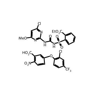 CCOC(=O)c1ccccc1S(=O)(=O)NC(=O)Nc1nc(Cl)cc(OC)n1.O=C(O)c1cc(Oc2ccc(C(F)(F)F)cc2Cl)ccc1[N+](=O)[O-]